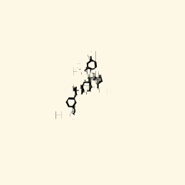 COc1cccc([C@@H](CN2CCC(C(=O)Nc3ccc(Cl)cc3OC(F)F)(n3nccc3C(C)C)CC2)C(=O)O)c1